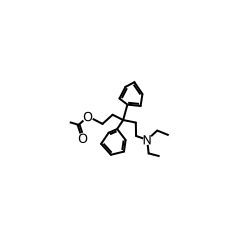 CCN(CC)CCC(CCOC(C)=O)(c1ccccc1)c1ccccc1